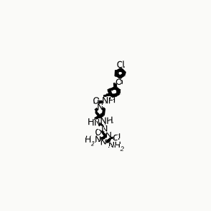 Nc1nc(N)c(C(=O)/N=C2\NCC3(CCN(C(=O)NCc4cccc(COc5ccc(Cl)cc5)c4)CC3)N2)nc1Cl